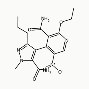 CCCc1nn(C)c(C(N)=O)c1-c1c([N+](=O)[O-])cnc(OCC)c1C(N)=O